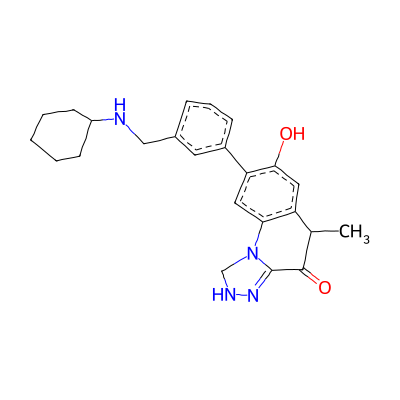 CC1C(=O)C2=NNCN2c2cc(-c3cccc(CNC4CCCCC4)c3)c(O)cc21